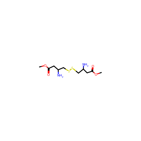 COC(=O)CC(N)CSSCC(N)CC(=O)OC